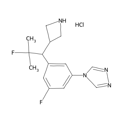 CC(C)(F)C(c1cc(F)cc(-n2cnnc2)c1)C1CNC1.Cl